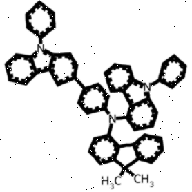 CC1(C)c2ccccc2-c2c(N(c3ccc(-c4ccc5c(c4)c4ccccc4n5-c4ccccc4)cc3)c3cccc4c3c3ccccc3n4-c3ccccc3)cccc21